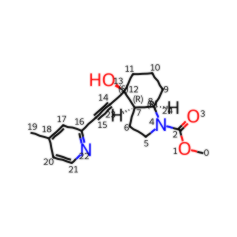 COC(=O)N1CC[C@@H]2[C@H]1CCC[C@@]2(O)C#Cc1cc(C)ccn1